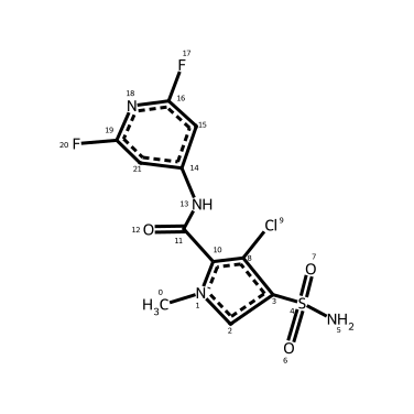 Cn1cc(S(N)(=O)=O)c(Cl)c1C(=O)Nc1cc(F)nc(F)c1